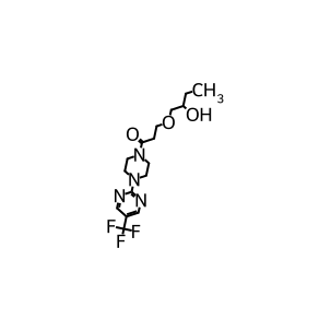 CCC(O)COCCC(=O)N1CCN(c2ncc(C(F)(F)F)cn2)CC1